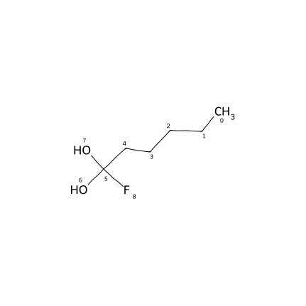 CCCCCC(O)(O)F